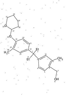 CCC(CC)(c1ccc(CO)c(C)c1)c1ccc(OC2CCCCO2)c(C)c1